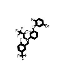 OC(CN(Cc1cc(C(F)(F)F)ccc1F)c1cccc(Oc2cc(Br)ccc2F)c1)C(F)(F)F